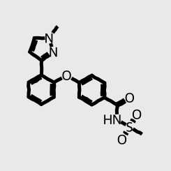 Cn1ccc(-c2ccccc2Oc2ccc(C(=O)NS(C)(=O)=O)cc2)n1